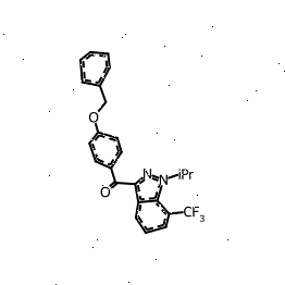 CC(C)n1nc(C(=O)c2ccc(OCc3ccccc3)cc2)c2cccc(C(F)(F)F)c21